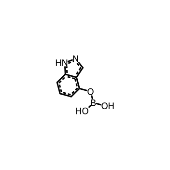 OB(O)Oc1cccc2[nH]ncc12